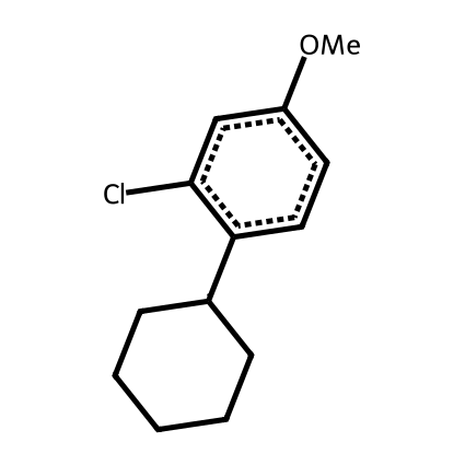 COc1ccc([C]2CCCCC2)c(Cl)c1